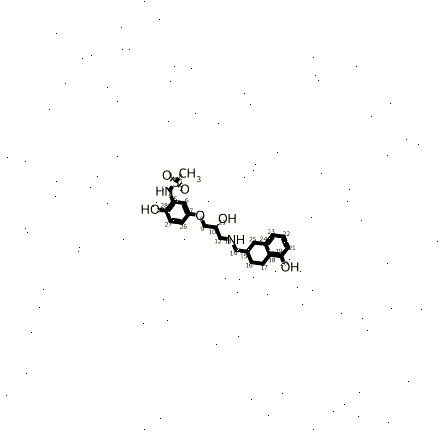 CS(=O)(=O)Nc1cc(OC[C@H](O)CNCC2CCc3c(O)cccc3C2)ccc1O